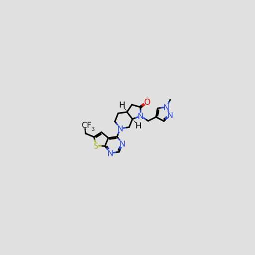 Cn1cc(CN2C(=O)C[C@@H]3CCN(c4ncnc5sc(CC(F)(F)F)cc45)C[C@@H]32)cn1